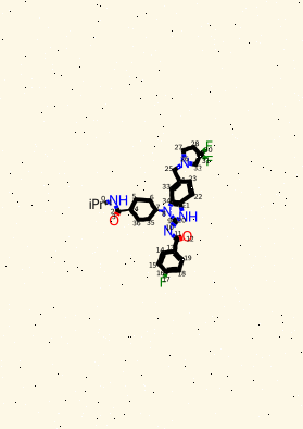 CC(C)NC(=O)[C@H]1CC[C@@H](n2/c(=N/C(=O)c3ccc(F)cc3)[nH]c3ccc(CN4CCC(F)(F)C4)cc32)CC1